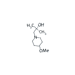 COC1CCN(CC(C)(C)O)CC1